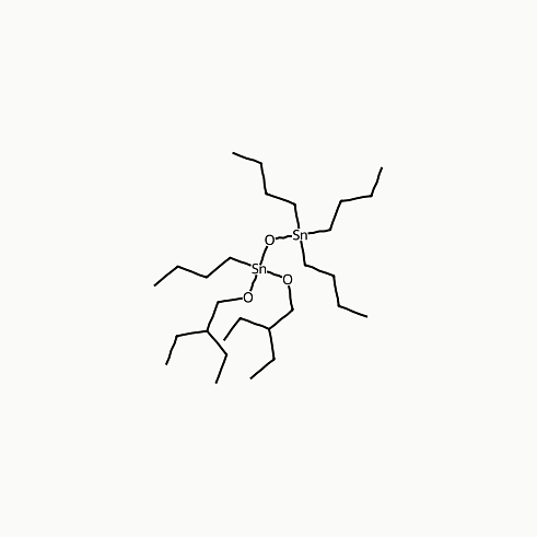 CCC[CH2][Sn]([CH2]CCC)([CH2]CCC)[O][Sn]([CH2]CCC)([O]CC(CC)CC)[O]CC(CC)CC